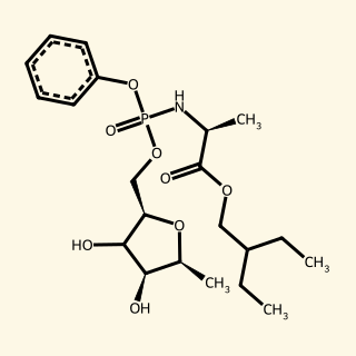 CCC(CC)COC(=O)[C@H](C)NP(=O)(OC[C@H]1O[C@@H](C)[C@@H](O)C1O)Oc1ccccc1